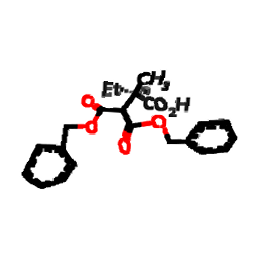 CC[C@](C)(C(=O)O)C(C(=O)OCc1ccccc1)C(=O)OCc1ccccc1